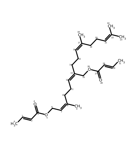 CC=CC(=O)OCC=C(C)CCC=C(CCC=C(C)CCC=C(C)C)COC(=O)C=CC